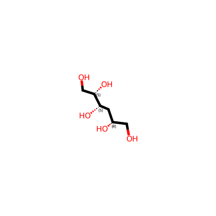 OC[C@H](O)C[C@H](O)[C@@H](O)CO